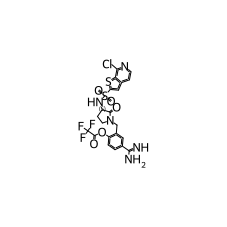 N=C(N)c1ccc(OC(=O)C(F)(F)F)c(CN2CC[C@H](NS(=O)(=O)c3cc4ccnc(Cl)c4s3)C2=O)c1